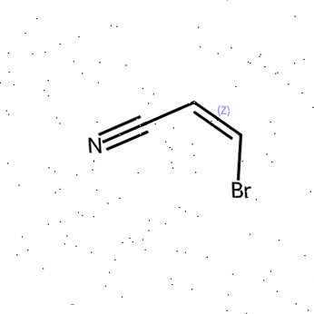 N#C/C=C\Br